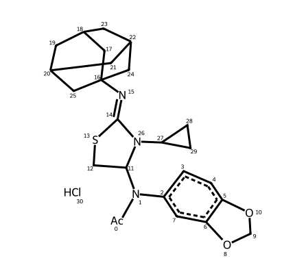 CC(=O)N(c1ccc2c(c1)OCO2)C1CSC(=NC23CC4CC(CC(C4)C2)C3)N1C1CC1.Cl